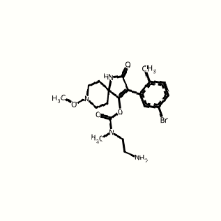 CON1CCC2(CC1)NC(=O)C(c1cc(Br)ccc1C)=C2OC(=O)N(C)CCN